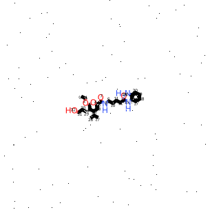 CCOC1OC(C(=O)NCCCCC(=O)Nc2ccccc2N)=C[C@@H](C(C)C)[C@@H]1CCCO